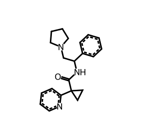 O=C(NC(CN1CCCC1)c1ccccc1)C1(c2ccccn2)CC1